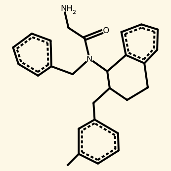 Cc1cccc(CC2CCc3ccccc3C2N(Cc2ccccc2)C(=O)CN)c1